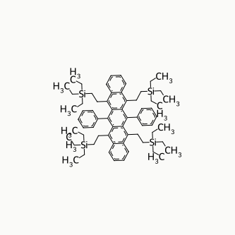 CC[Si](CC)(CC)CCc1c2ccccc2c(CC[Si](CC)(CC)CC)c2c(-c3ccccc3)c3c(CC[Si](CC)(CC)CC)c4ccccc4c(CC[Si](CC)(CC)CC)c3c(-c3ccccc3)c12